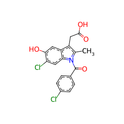 Cc1c(CC(=O)O)c2cc(O)c(Cl)cc2n1C(=O)c1ccc(Cl)cc1